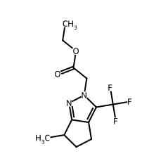 CCOC(=O)Cn1nc2c(c1C(F)(F)F)CCC2C